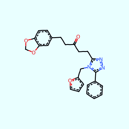 O=C(CCc1ccc2c(c1)OCO2)CCc1nnc(-c2ccccc2)n1Cc1ccco1